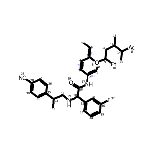 C\C=C(/C=C\C(=C/C)OC(CC)CC(C)C(C)C(C)=O)NC(=O)C(NCC(C)c1ccc(C#N)cc1)c1cccc(F)c1